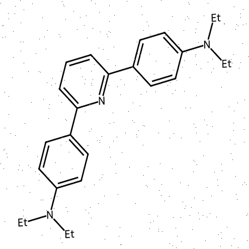 CCN(CC)c1ccc(-c2cccc(-c3ccc(N(CC)CC)cc3)n2)cc1